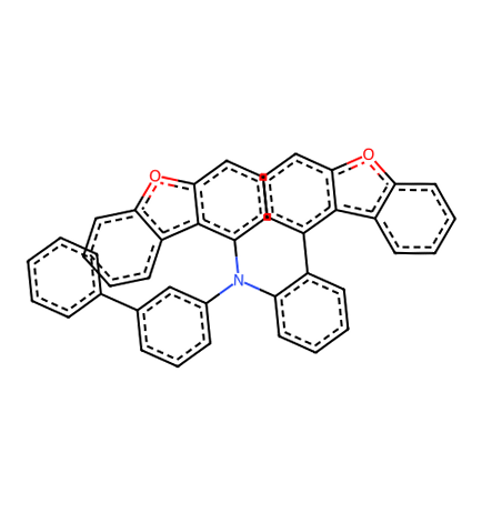 c1ccc(-c2cccc(N(c3ccccc3-c3cccc4oc5ccccc5c34)c3cccc4oc5ccccc5c34)c2)cc1